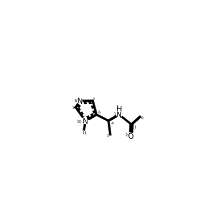 CC(=O)NC(C)c1cncn1C